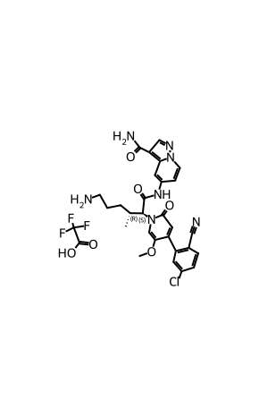 COc1cn([C@H](C(=O)Nc2ccn3ncc(C(N)=O)c3c2)[C@H](C)CCCN)c(=O)cc1-c1cc(Cl)ccc1C#N.O=C(O)C(F)(F)F